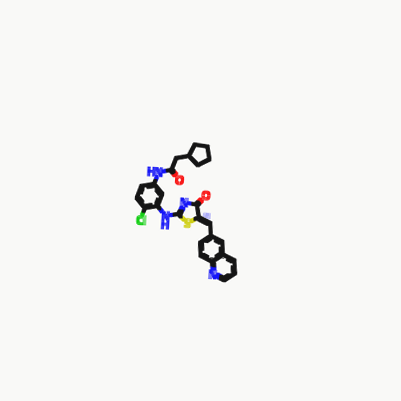 O=C(CC1CCCC1)Nc1ccc(Cl)c(NC2=NC(=O)/C(=C/c3ccc4ncccc4c3)S2)c1